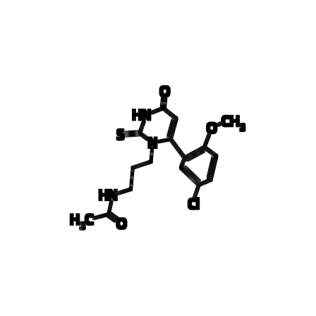 COc1ccc(Cl)cc1-c1cc(=O)[nH]c(=S)n1CCCNC(C)=O